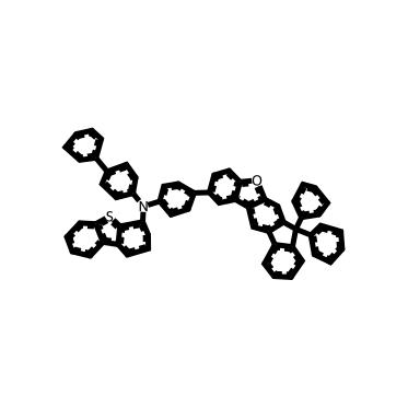 c1ccc(-c2ccc(N(c3ccc(-c4ccc5oc6cc7c(cc6c5c4)-c4ccccc4C7(c4ccccc4)c4ccccc4)cc3)c3cccc4c3sc3ccccc34)cc2)cc1